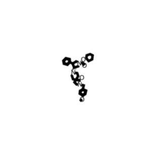 COc1ccc(CN2CCC3(CCN(C[C@H]4CN(C(=O)OC5CCCCC5)CC4c4ccccc4)CC3)C2=O)cc1